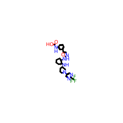 O=C(O)Nc1cccc(-c2cnc(N[C@@H]3CCCC[C@H]3N[C@H]3CCCN(c4cnc(C(F)(F)F)nc4)C3)o2)c1